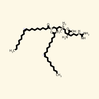 CCCCCCCC/C=C\CCCCCCCC(=O)OCC(C[N+](C)(C)CC[C@](N)(CCCNC(=N)N)C(=O)O)OC(=O)CCCCCCC/C=C\CCCCCCCC